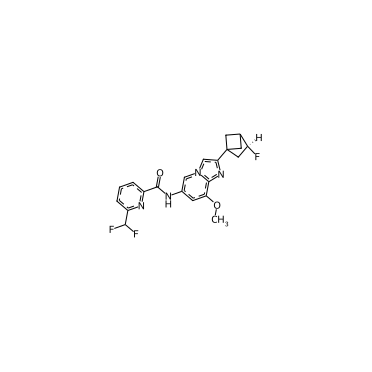 COc1cc(NC(=O)c2cccc(C(F)F)n2)cn2cc(C34CC(C3)[C@@H](F)C4)nc12